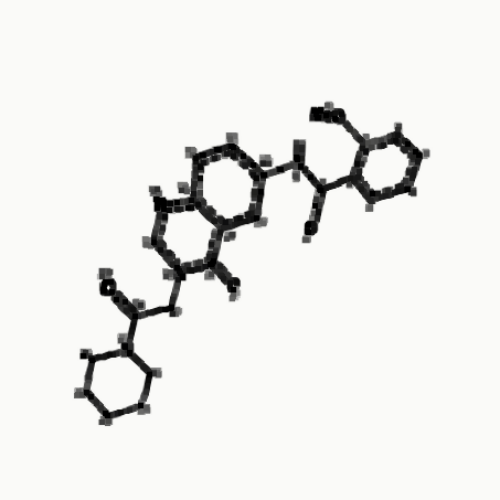 COc1ccccc1C(=O)Nc1ccc2ncn(CC(=O)N3CCCCC3)c(=O)c2c1